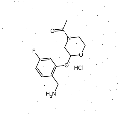 CC(=O)N1CCOC(Oc2cc(F)ccc2CN)C1.Cl